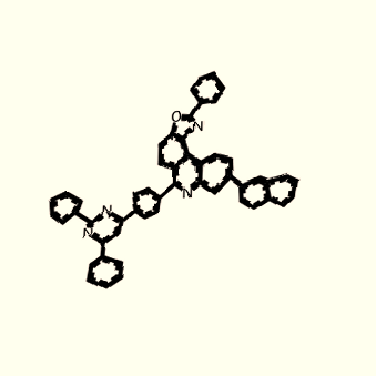 c1ccc(-c2cc(-c3ccc(-c4nc5cc(-c6ccc7ccccc7c6)ccc5c5c4ccc4oc(-c6ccccc6)nc45)cc3)nc(-c3ccccc3)n2)cc1